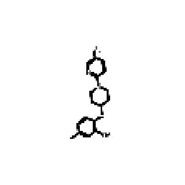 CC(=O)Oc1cc(C)ccc1OC1CCN(c2ccc(C(F)(F)F)cn2)CC1